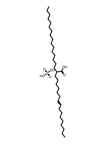 CCCCCCCCC=CCCCCCCC(CCCCCCCCCCCCCCCC)C(=O)O.O=S(=O)(O)O